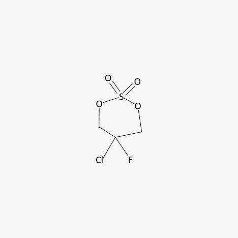 O=S1(=O)OCC(F)(Cl)CO1